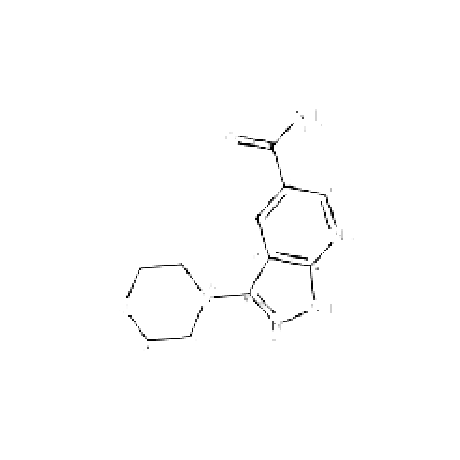 NC(=O)c1cnc2[nH]nc(N3CCOCC3)c2c1